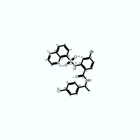 CC(NC(=O)c1ccc(Br)cc1NS(=O)(=O)c1cccc2nccnc12)c1ccc(Cl)cc1